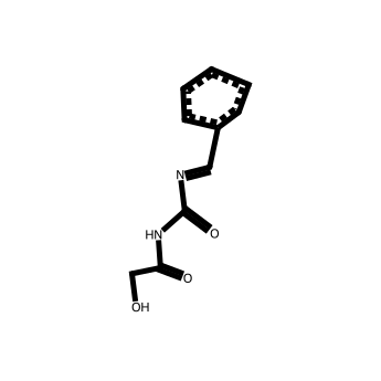 O=C(CO)NC(=O)N=Cc1ccccc1